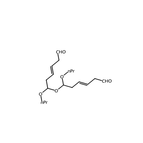 CCCOC(CC=CCC=O)OC(CC=CCC=O)OCCC